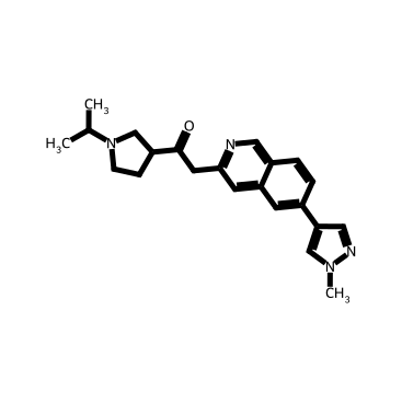 CC(C)N1CCC(C(=O)Cc2cc3cc(-c4cnn(C)c4)ccc3cn2)C1